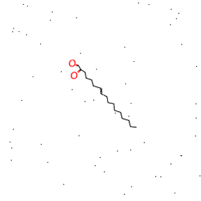 CCCCCCCCC/C=C/CCCCC(=O)C=O